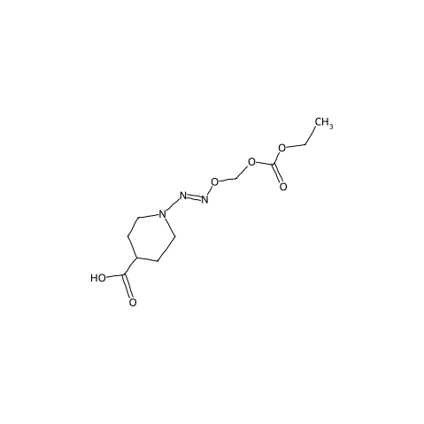 CCOC(=O)OCON=NN1CCC(C(=O)O)CC1